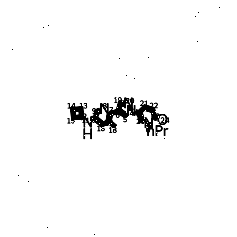 CCCn1cc(-n2cc(-c3ncc(NC4CCC4)cc3C)cn2)ccc1=O